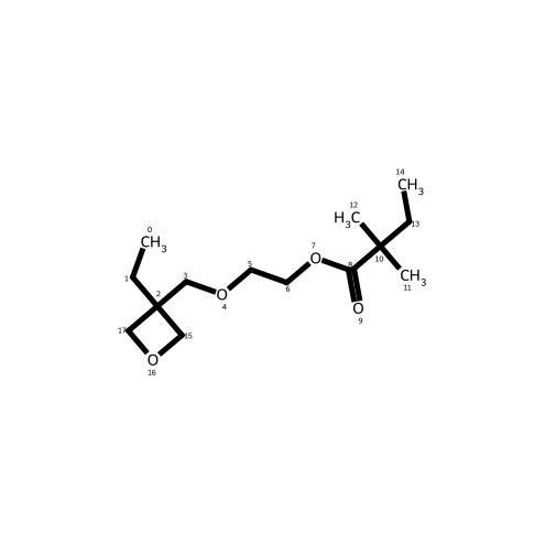 CCC1(COCCOC(=O)C(C)(C)CC)COC1